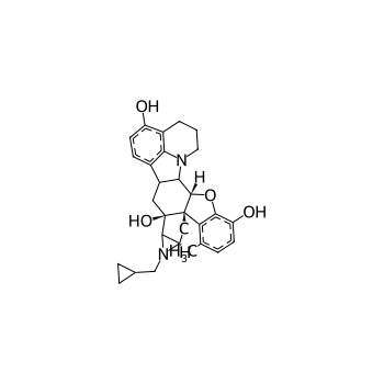 Cc1ccc(O)c2c1[C@]13C[C@@H]4C(N4CC4CC4)[C@]1(O)CC1c4ccc(O)c5c4N(CCC5)C1[C@@H]3O2